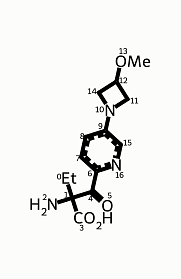 CCC(N)(C(=O)O)C(=O)c1ccc(N2CC(OC)C2)cn1